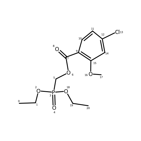 CCOP(=O)(COC(=O)c1ccc(Cl)cc1OC)OCC